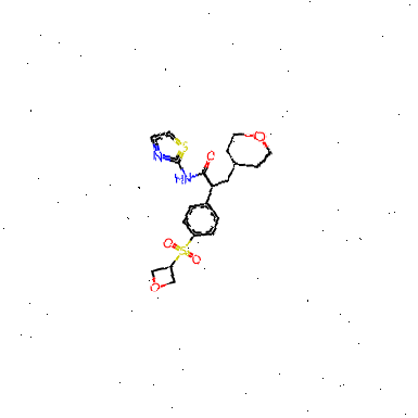 O=C(Nc1nccs1)C(CC1CCOCC1)c1ccc(S(=O)(=O)C2COC2)cc1